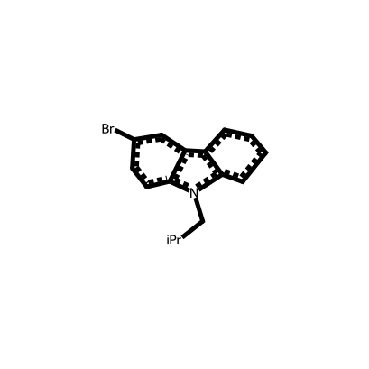 CC(C)Cn1c2ccccc2c2cc(Br)ccc21